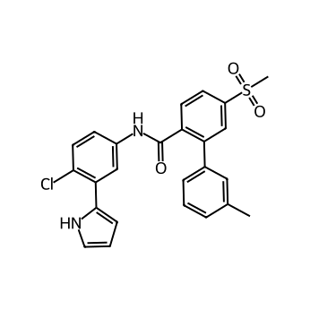 Cc1cccc(-c2cc(S(C)(=O)=O)ccc2C(=O)Nc2ccc(Cl)c(-c3ccc[nH]3)c2)c1